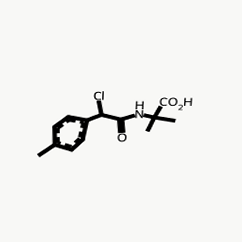 Cc1ccc(C(Cl)C(=O)NC(C)(C)C(=O)O)cc1